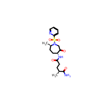 C[C@@H]1CC[C@@H](NC(=O)[CH]C[C@H](C)C(N)=O)C(=O)CN1S(=O)(=O)c1ccccn1